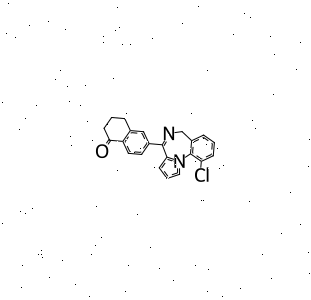 O=C1CCCc2cc(C3=NCc4cccc(Cl)c4-n4cccc43)ccc21